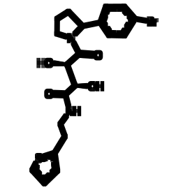 O=C(NCCc1cccs1)[C@H](O)[C@@H](O)C(=O)N1CCCC1c1ccc(Br)cc1